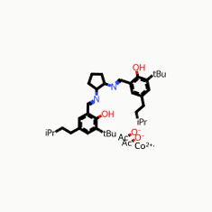 CC(=O)[O-].CC(=O)[O-].CC(C)CCc1cc(C=NC2CCCC2N=Cc2cc(CCC(C)C)cc(C(C)(C)C)c2O)c(O)c(C(C)(C)C)c1.[Co+2]